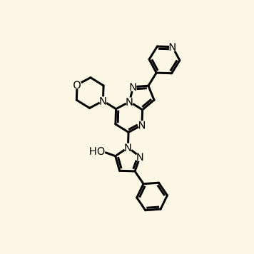 Oc1cc(-c2ccccc2)nn1-c1cc(N2CCOCC2)n2nc(-c3ccncc3)cc2n1